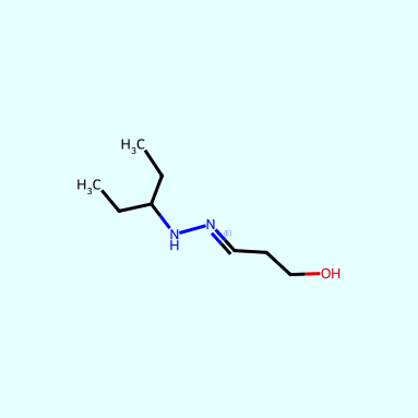 CCC(CC)N/N=C/CCO